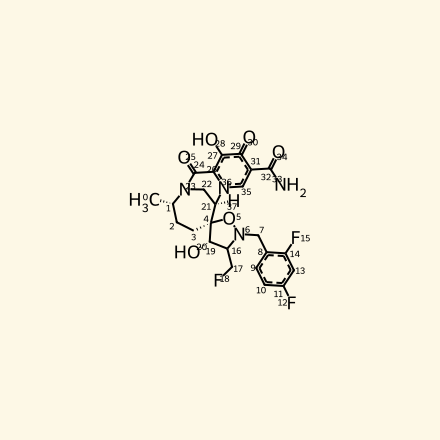 C[C@H]1CC[C@@]2(ON(Cc3ccc(F)cc3F)C(CF)[C@@H]2O)[C@H]2CN1C(=O)c1c(O)c(=O)c(C(N)=O)cn12